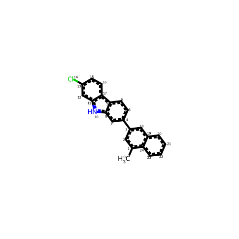 Cc1cc(-c2ccc3c(c2)[nH]c2cc(Cl)ccc23)cc2ccccc12